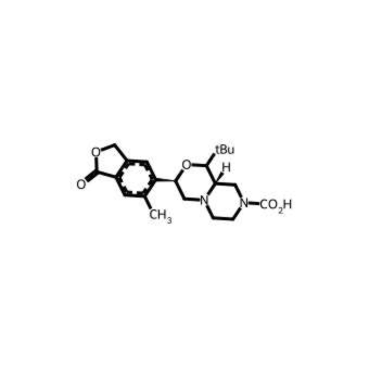 Cc1cc2c(cc1[C@@H]1CN3CCN(C(=O)O)C[C@H]3C(C(C)(C)C)O1)COC2=O